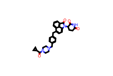 O=C1CCC(N2C(=O)c3cccc4c(Cc5ccc(CN6CCN(C(=O)C7CC7)CC6)cc5)ccc2c34)C(=O)N1